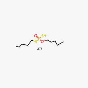 CCCCCOP(=O)(S)SCCCCC.[Zn]